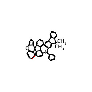 CC1(C)c2ccccc2-c2ccc(N(c3ccccc3)c3cccc4c3-c3ccccc3C43c4ccccc4Oc4ccc5ccccc5c43)cc21